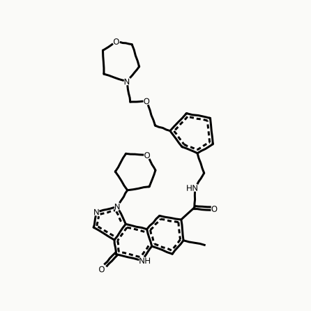 Cc1cc2[nH]c(=O)c3cnn(C4CCOCC4)c3c2cc1C(=O)NCc1cccc(COCN2CCOCC2)c1